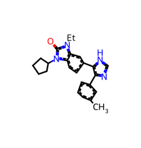 CCn1c(=O)n(C2CCCC2)c2ccc(-c3[nH]cnc3-c3cccc(C)c3)cc21